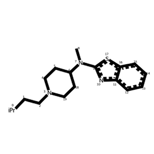 CC(C)CCN1CCC(N(C)c2nc3ccccc3s2)CC1